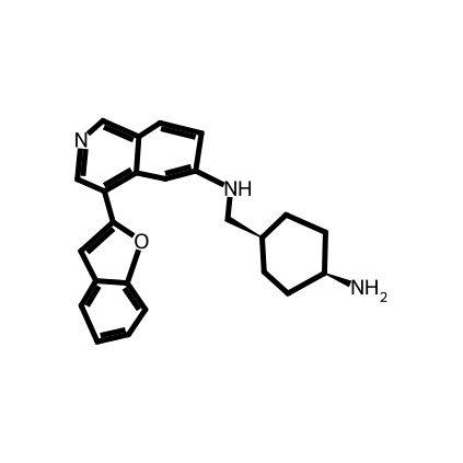 N[C@H]1CC[C@@H](CNc2ccc3cncc(-c4cc5ccccc5o4)c3c2)CC1